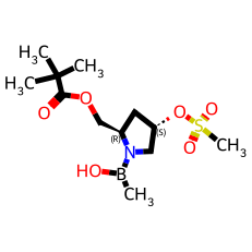 CB(O)N1C[C@@H](OS(C)(=O)=O)C[C@@H]1COC(=O)C(C)(C)C